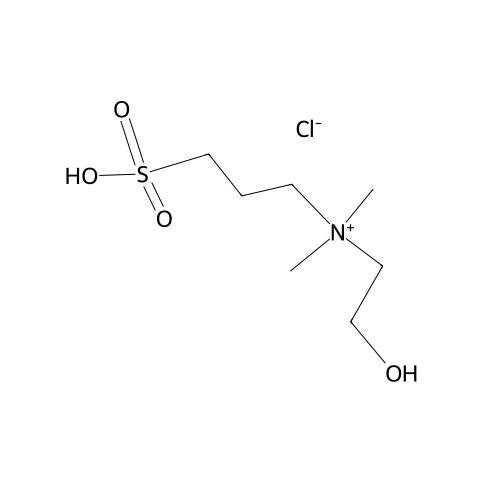 C[N+](C)(CCO)CCCS(=O)(=O)O.[Cl-]